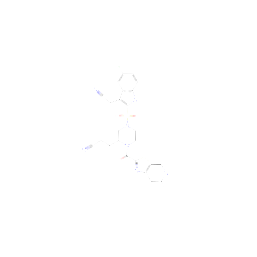 CC1Cc2nc(C(=O)N3CCN(S(=O)(=O)c4[nH]c5ccc(Cl)cc5c4CC#N)CC3CCC#N)sc2CN1